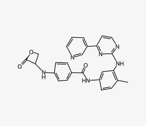 Cc1ccc(NC(=O)c2ccc(NC3COC3=O)cc2)cc1Nc1nccc(-c2cccnc2)n1